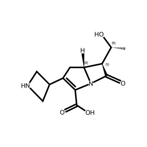 C[C@@H](O)[C@H]1C(=O)N2C(C(=O)O)=C(C3CNC3)C[C@H]12